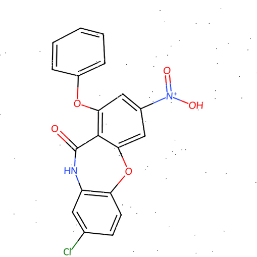 O=C1Nc2cc(Cl)ccc2Oc2cc([N+](=O)O)cc(Oc3ccccc3)c21